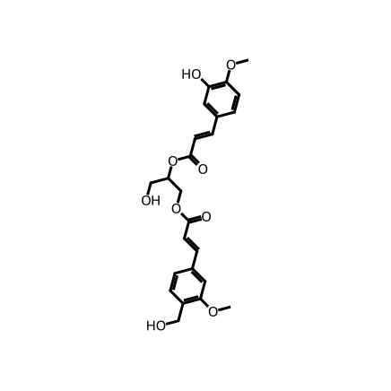 COc1ccc(/C=C/C(=O)OC(CO)COC(=O)/C=C/c2ccc(CO)c(OC)c2)cc1O